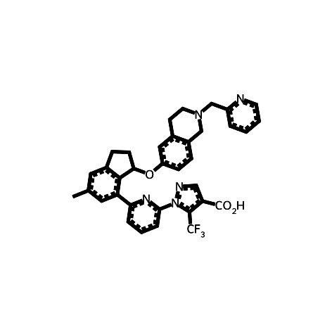 Cc1cc2c(c(-c3cccc(-n4ncc(C(=O)O)c4C(F)(F)F)n3)c1)C(Oc1ccc3c(c1)CCN(Cc1ccccn1)C3)CC2